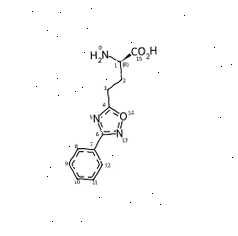 N[C@H](CCc1nc(-c2ccccc2)no1)C(=O)O